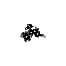 [2H]C1([2H])OC([2H])([2H])C([2H])([2H])N(c2nc(-c3cnc(N)nc3C(F)(F)F)cc(N3C(=O)OC[C@@H]3C)n2)C1([2H])[2H]